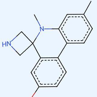 Cc1ccc2c(c1)N(C)C1(CNC1)c1cc(O)ccc1-2